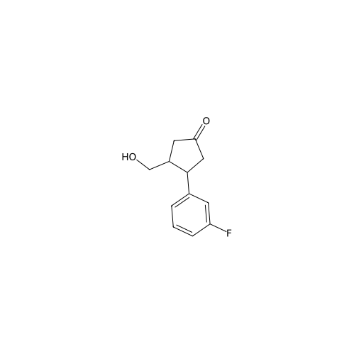 O=C1CC(CO)C(c2cccc(F)c2)C1